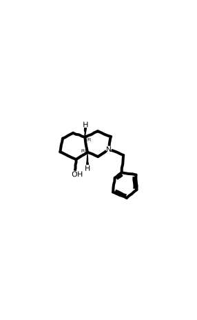 OC1CCC[C@@H]2CCN(Cc3ccccc3)C[C@H]12